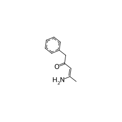 CC(N)=CC(=O)Cc1ccccc1